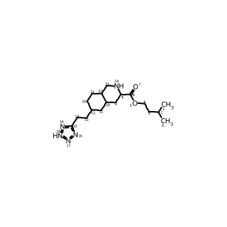 CC(C)CCOC(=O)C1CC2CC(CCc3nn[nH]n3)CCC2CN1